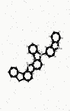 c1ccc2c(c1)Cc1ccc3c(sc4c3ccc3c4c4ccccc4n3-c3ccc4sc5ccccc5c4c3)c1-2